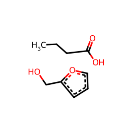 CCCC(=O)O.OCc1ccco1